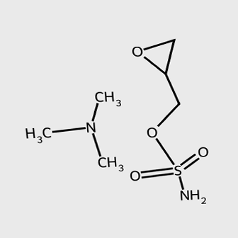 CN(C)C.NS(=O)(=O)OCC1CO1